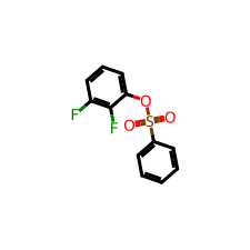 O=S(=O)(Oc1cccc(F)c1F)c1ccccc1